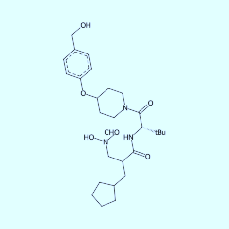 CC(C)(C)[C@H](NC(=O)C(CC1CCCC1)CN(O)C=O)C(=O)N1CCC(Oc2ccc(CO)cc2)CC1